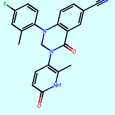 Cc1cc(F)ccc1N1CN(c2ccc(=O)[nH]c2C)C(=O)c2cc(C#N)ccc21